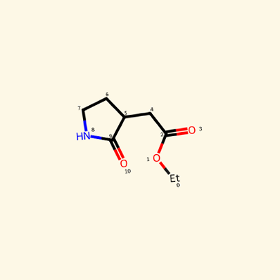 CCOC(=O)CC1CCNC1=O